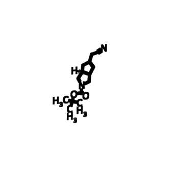 CC(C)(C)OC(=O)N1CC2CC(CC#N)C[C@@H]2C1